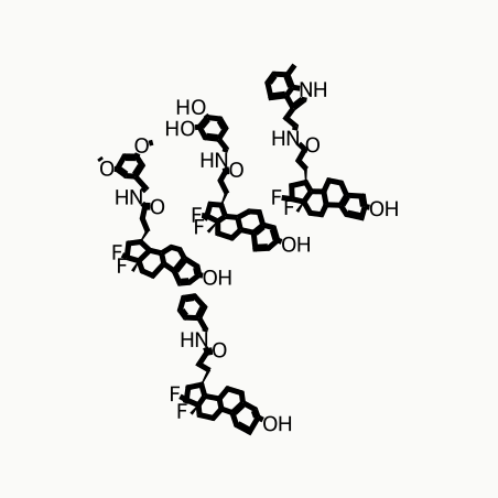 COc1cc(CNC(=O)CC[C@@H]2CC(F)(F)[C@@]3(C)CCC4c5ccc(O)cc5CCC4C23)cc(OC)c1.C[C@]12CCC3c4ccc(O)cc4CCC3C1[C@H](CCC(=O)NCc1ccc(O)c(O)c1)CC2(F)F.C[C@]12CCC3c4ccc(O)cc4CCC3C1[C@H](CCC(=O)NCc1ccccc1)CC2(F)F.Cc1cccc2c(CCNC(=O)CC[C@@H]3CC(F)(F)[C@@]4(C)CCC5c6ccc(O)cc6CCC5C34)c[nH]c12